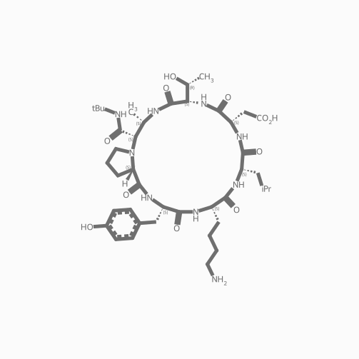 CC(C)C[C@@H]1NC(=O)[C@H](CCCCN)NC(=O)[C@H](Cc2ccc(O)cc2)NC(=O)[C@@H]2CCCN2[C@H](C(=O)NC(C)(C)C)[C@H](C)NC(=O)[C@H]([C@@H](C)O)NC(=O)[C@H](CC(=O)O)NC1=O